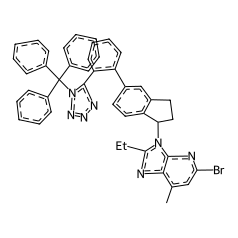 CCc1nc2c(C)cc(Br)nc2n1C1CCc2cc(-c3ccccc3-c3nnnn3C(c3ccccc3)(c3ccccc3)c3ccccc3)ccc21